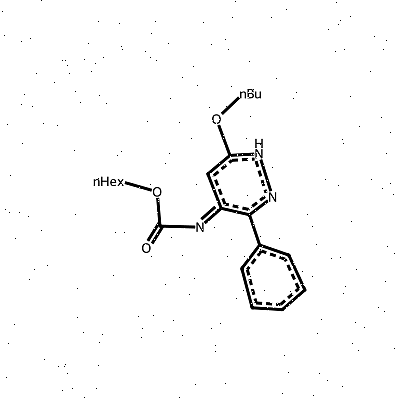 CCCCCCOC(=O)N=c1cc(OCCCC)[nH]nc1-c1ccccc1